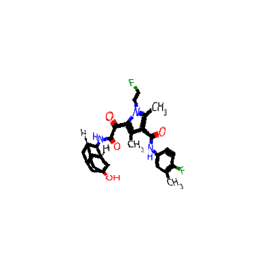 Cc1cc(NC(=O)c2c(C)c(C(=O)C(=O)NC3[C@@H]4CC5C[C@H]3CC(O)(C5)C4)n(CCF)c2C)ccc1F